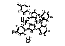 CC1=[C]([Hf+2]([C]2=C(C)C(c3ccc(F)cc3)=CC2)=[Ge]([c]2ccccc2)[c]2ccccc2)CC=C1c1ccc(F)cc1.[Cl-].[Cl-]